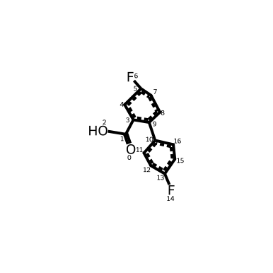 O=C(O)c1cc(F)ccc1-c1ccc(F)cc1